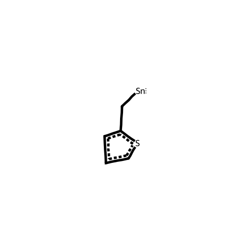 [Sn][CH2]c1cccs1